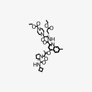 CCOC(=O)CC[C@H](NC(=O)c1cc(O[C@H](C)C(=O)N2CCC[C@H]2C(=O)NC2CCC2)c2ccc(C)cc2n1)C(=O)N1CCN(C(=O)OCC)CC1